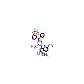 C[C@H]1CN(C(c2ccc(F)cc2)c2cccc3c2OC(F)(F)O3)CCN1c1cc(=O)n(C)c2ccc(C#N)nc12